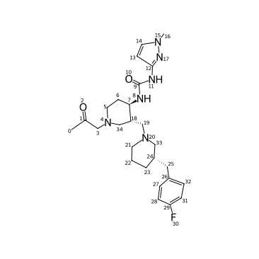 CC(=O)CN1CC[C@@H](NC(=O)Nc2ccn(C)n2)[C@H](CN2CCC[C@@H](Cc3ccc(F)cc3)C2)C1